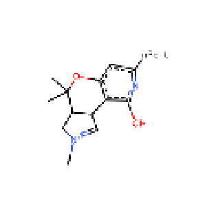 CCCCCc1cc2c(c(O)n1)C1C=[N+](C)CC1C(C)(C)O2